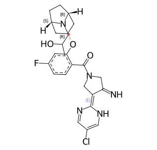 CC(O)CN1[C@@H]2CC[C@H]1C[C@@H](Oc1cc(F)ccc1C(=O)N1CC(=N)/C(=C3/N=CC(Cl)=CN3)C1)C2